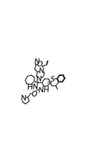 C=CC(=O)N1CCN(C2(C3CCCCCC3)NC(OCC3CCCN3C)NC3C[C@]4(CCC32)CC(C)c2ccccc2S4)CC1CC#N